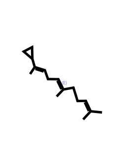 CC(C)=CCC/C(C)=C/CC=C(C)C1CC1